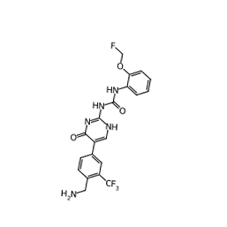 NCc1ccc(-c2c[nH]c(NC(=O)Nc3ccccc3OCF)nc2=O)cc1C(F)(F)F